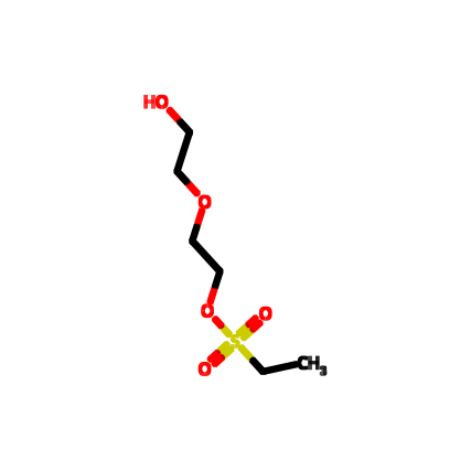 CCS(=O)(=O)OCCOCCO